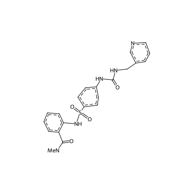 CNC(=O)c1ccccc1NS(=O)(=O)c1ccc(NC(=O)NCc2cccnc2)cc1